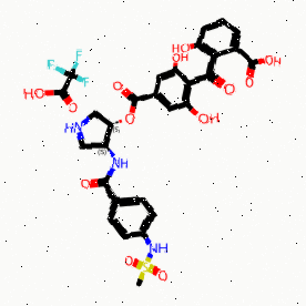 CS(=O)(=O)Nc1ccc(C(=O)N[C@H]2CNC[C@@H]2OC(=O)c2cc(O)c(C(=O)c3c(O)cccc3C(=O)O)c(O)c2)cc1.O=C(O)C(F)(F)F